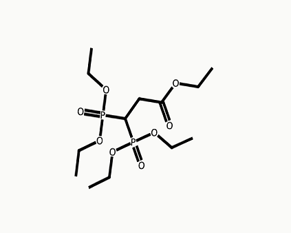 CCOC(=O)CC(P(=O)(OCC)OCC)P(=O)(OCC)OCC